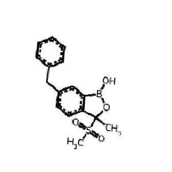 CC1(S(C)(=O)=O)OB(O)c2cc(Cc3ccccc3)ccc21